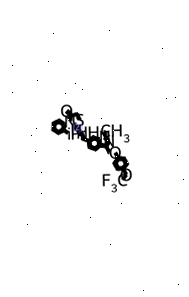 CC(C)c1ccccc1N1C(=O)CS/C1=N\NCc1ccc2c(COc3ccc(OC(F)(F)F)cc3)nn(C)c2c1